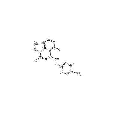 CCCCOn1c(=O)cc(NCc2ccc(N)nc2)c2c(C)ncnc21